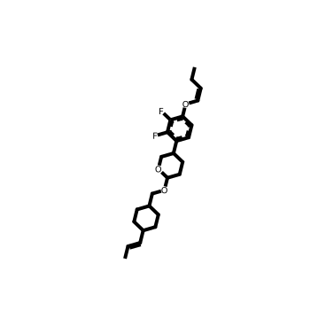 C/C=C/C1CCC(COC2CCC(c3ccc(O/C=C\CC)c(F)c3F)CO2)CC1